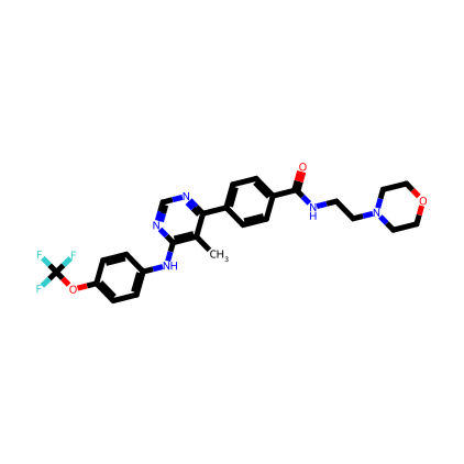 Cc1c(Nc2ccc(OC(F)(F)F)cc2)ncnc1-c1ccc(C(=O)NCCN2CCOCC2)cc1